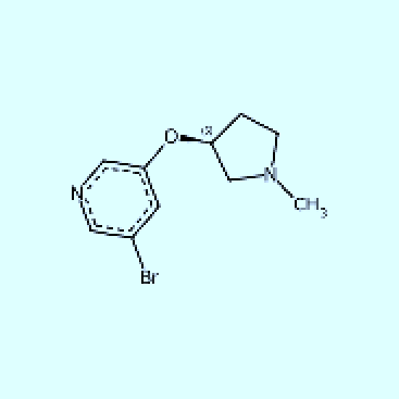 CN1CC[C@H](Oc2cncc(Br)c2)C1